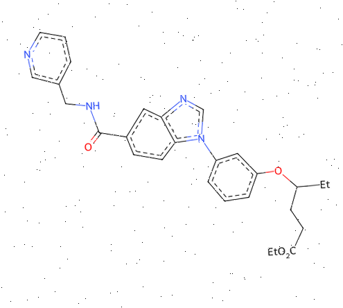 CCOC(=O)CCC(CC)Oc1cccc(-n2cnc3cc(C(=O)NCc4cccnc4)ccc32)c1